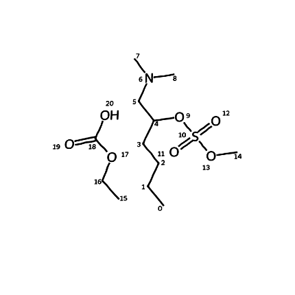 CCCCC(CN(C)C)OS(=O)(=O)OC.CCOC(=O)O